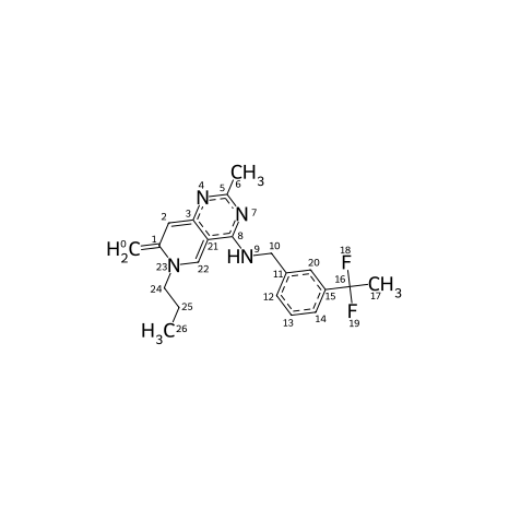 C=C1C=c2nc(C)nc(NCc3cccc(C(C)(F)F)c3)c2=CN1CCC